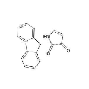 O=C1C=CNC1=O.c1ccc2c(c1)Cc1ccccc1-2